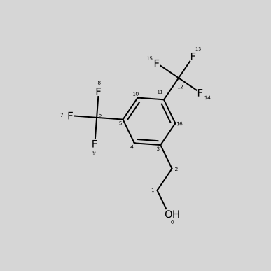 OCCc1cc(C(F)(F)F)cc(C(F)(F)F)c1